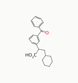 O=C(c1ccccc1)c1cccc(C(CC2CCCCC2)C(=O)O)c1